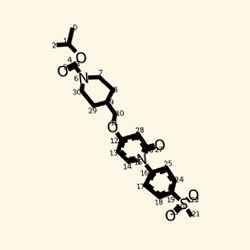 CC(C)OC(=O)N1CCC(COc2ccn(-c3ccc(S(C)(=O)=O)cc3)c(=O)c2)CC1